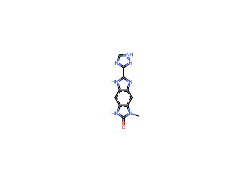 Cn1c(=O)[nH]c2cc3[nH]c(-c4nc[nH]n4)nc3cc21